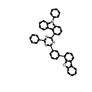 c1ccc(-c2nc(-c3cccc(-c4cccc5c4oc4ccccc45)c3)nc(-c3cccc4c3c3ccccc3n4-c3ccccc3)n2)cc1